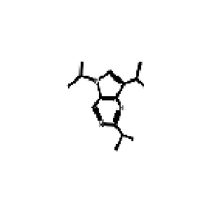 CC(C)c1ncc2c(n1)c(C(C)C)cn2C(C)C